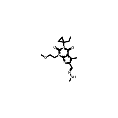 CCC1(n2c(=O)c3c(C)c(/C=N/NC)sc3n(CCOC)c2=O)CC1